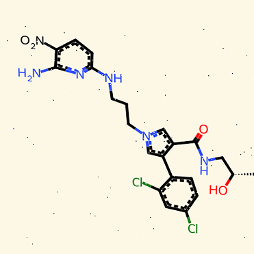 C[C@H](O)CNC(=O)c1cn(CCCNc2ccc([N+](=O)[O-])c(N)n2)cc1-c1ccc(Cl)cc1Cl